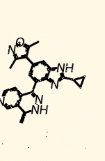 C=C1NN=C(c2cc(-c3c(C)noc3C)cc3[nH]c(C4CC4)nc23)c2ccncc21